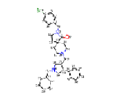 O=C1N(Cc2ccc(Br)cc2)CCC12CCN(CC1CN(CC3CCCCC3)CC1c1ccccc1)CC2